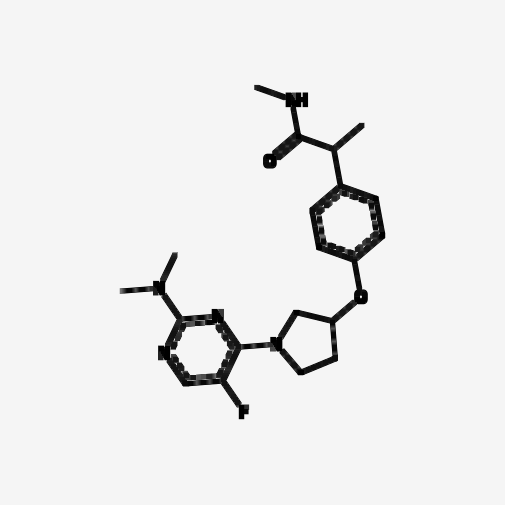 CNC(=O)C(C)c1ccc(OC2CCN(c3nc(N(C)C)ncc3F)C2)cc1